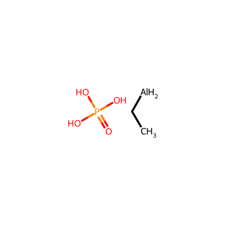 C[CH2][AlH2].O=P(O)(O)O